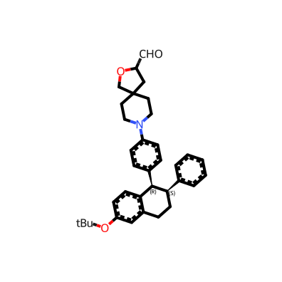 CC(C)(C)Oc1ccc2c(c1)CC[C@H](c1ccccc1)[C@@H]2c1ccc(N2CCC3(CC2)COC(C=O)C3)cc1